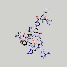 CC[C@H](C)[C@H](N)C(=O)N[C@@H](CCCCN)C(=O)N1CCN(c2ccc3ncn(CC(=O)N[C@@H](CCCNC(=N)N)C(=O)N[C@@H](Cc4c[nH]cn4)C(=O)N[C@@H](Cc4ccc(O)cc4)C(=O)N[C@@H](CC(C)C)C(=O)N[C@@H](CC(N)=O)C(=O)N[C@@H](CC(C)C)C(=O)N[C@H](C)C(C)C)c(=O)c3c2)CC1